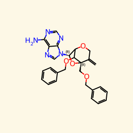 C=C1COC2C(OCc3ccccc3)[C@@]1(COCc1ccccc1)O[C@H]2n1cnc2c(N)ncnc21